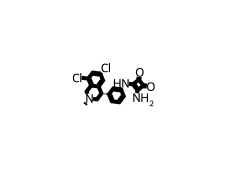 CN1Cc2c(Cl)cc(Cl)cc2[C@H](c2cccc(Nc3c(N)c(=O)c3=O)c2)C1